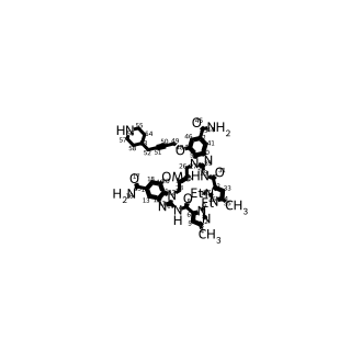 CCn1nc(C)cc1C(=O)Nc1nc2cc(C(N)=O)cc(OC)c2n1C/C=C/Cn1c(NC(=O)c2cc(C)nn2CC)nc2cc(C(N)=O)cc(OCC#CCC3CCNCC3)c21